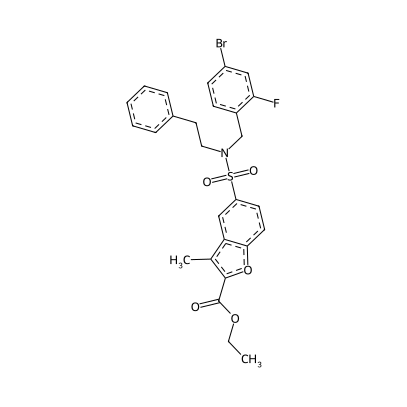 CCOC(=O)c1oc2ccc(S(=O)(=O)N(CCc3ccccc3)Cc3ccc(Br)cc3F)cc2c1C